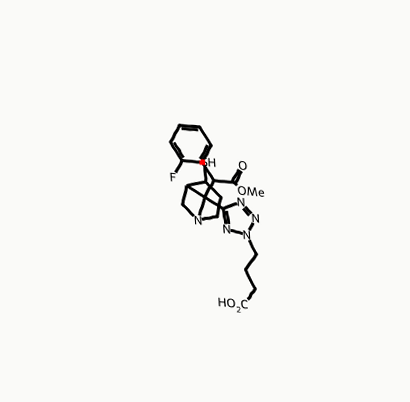 COC(=O)C(c1ccccc1F)C1(c2nnn(CCCC(=O)O)n2)C2CN1CCC2S